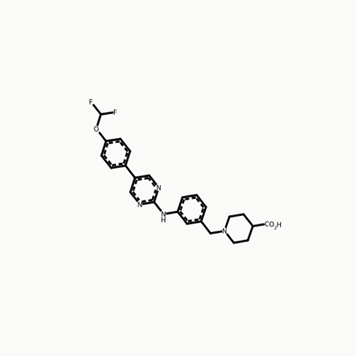 O=C(O)C1CCN(Cc2cccc(Nc3ncc(-c4ccc(OC(F)F)cc4)cn3)c2)CC1